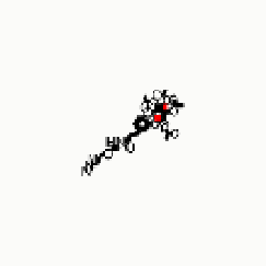 CC(=O)OC[C@H]1O[C@@H](Oc2ccc(CCC(=O)NCCOCCN=[N+]=[N-])cc2O[Si](C)(C)C(C)(C)C)[C@H](OC(C)=O)[C@@H](OC(C)=O)[C@H]1OC(C)=O